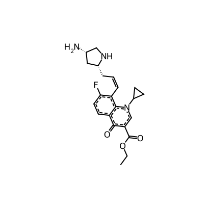 CCOC(=O)c1cn(C2CC2)c2c(/C=C\C[C@@H]3C[C@H](N)CN3)c(F)ccc2c1=O